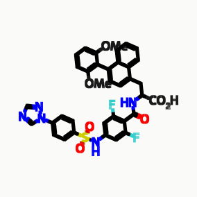 COc1cccc(OC)c1-c1ccc(CC(NC(=O)c2c(F)cc(NS(=O)(=O)c3ccc(-n4cncn4)cc3)cc2F)C(=O)O)c2ccccc12